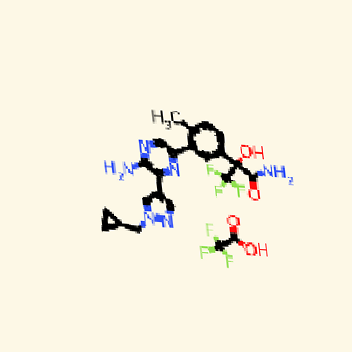 Cc1ccc(C(O)(C(N)=O)C(F)(F)F)cc1-c1cnc(N)c(-c2cnn(CC3CC3)c2)n1.O=C(O)C(F)(F)F